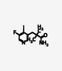 CC(C)(Cc1cncc(F)c1I)C(N)=O